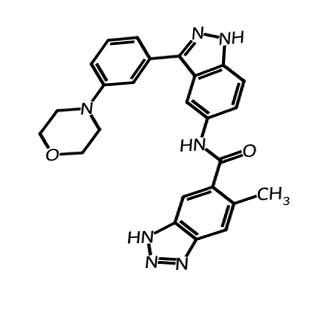 Cc1cc2nn[nH]c2cc1C(=O)Nc1ccc2[nH]nc(-c3cccc(N4CCOCC4)c3)c2c1